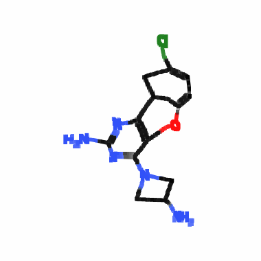 Nc1nc2c(c(N3CC(N)C3)n1)OC1=CC=C(Cl)CC12